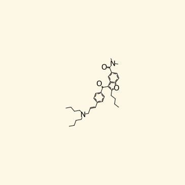 CCCCc1oc2ccc(C(=O)N(C)C)cc2c1C(=O)c1ccc(C=CCN(CCCC)CCCC)cc1